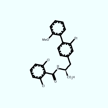 CCc1cc(C[C@H](NC(=O)c2c(Cl)cccc2Cl)C(=O)O)ccc1-c1ccccc1OC